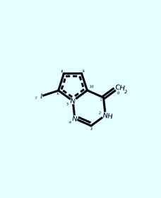 C=C1NC=Nn2c(I)ccc21